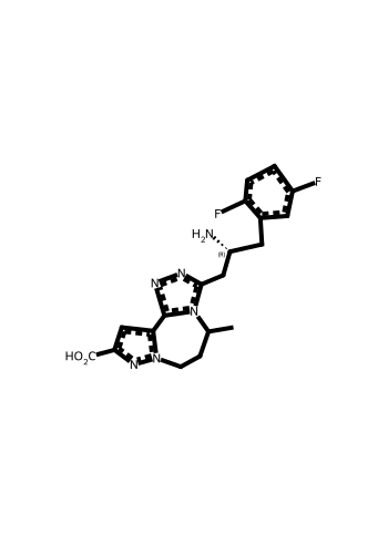 CC1CCn2nc(C(=O)O)cc2-c2nnc(C[C@H](N)Cc3cc(F)ccc3F)n21